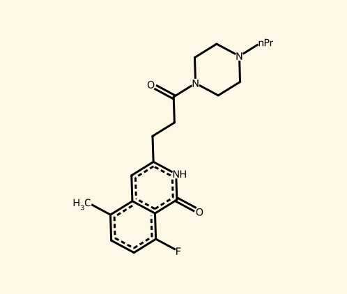 CCCN1CCN(C(=O)CCc2cc3c(C)ccc(F)c3c(=O)[nH]2)CC1